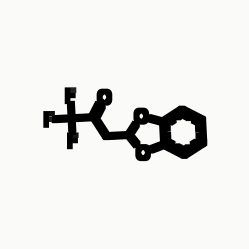 O=C(CC1Oc2ccccc2O1)C(F)(F)F